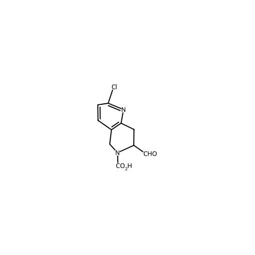 O=CC1Cc2nc(Cl)ccc2CN1C(=O)O